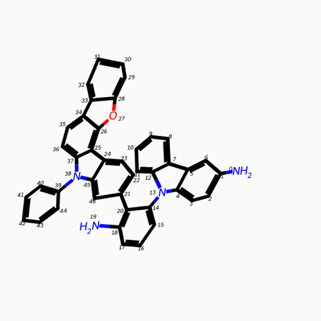 Nc1ccc2c(c1)c1ccccc1n2-c1cccc(N)c1-c1ccc2c3c4oc5ccccc5c4ccc3n(-c3ccccc3)c2c1